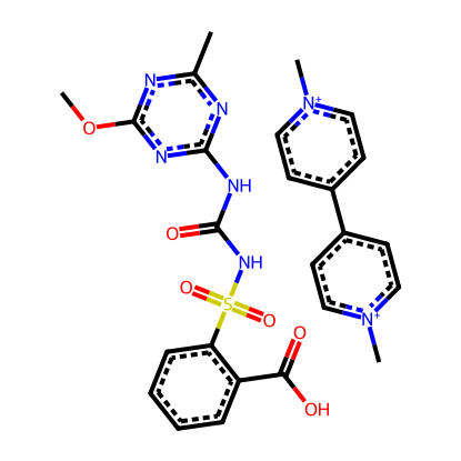 COc1nc(C)nc(NC(=O)NS(=O)(=O)c2ccccc2C(=O)O)n1.C[n+]1ccc(-c2cc[n+](C)cc2)cc1